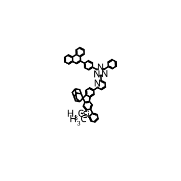 C[Si]1(C)c2ccccc2-c2cc3c(cc21)C1(c2ccc(-c4cccc(-c5nc(-c6ccccc6)nc(-c6ccc(-c7cc8ccccc8c8ccccc78)cc6)n5)n4)cc2-3)C2CC3CC(C2)CC1C3